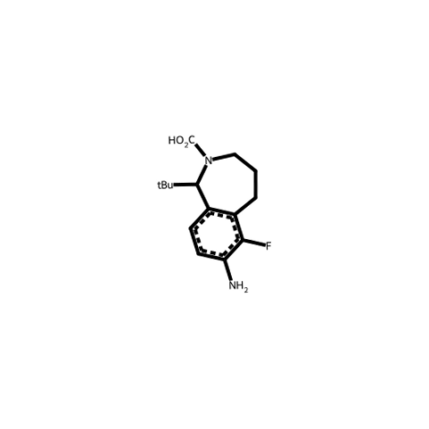 CC(C)(C)C1c2ccc(N)c(F)c2CCCN1C(=O)O